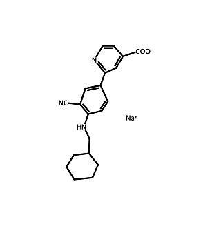 N#Cc1cc(-c2cc(C(=O)[O-])ccn2)ccc1NCC1CCCCC1.[Na+]